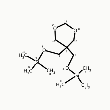 C[Si](C)(C)OCC1(CO[Si](C)(C)C)COCOC1